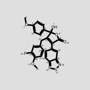 COc1ccc(C2(O)OC(=O)C(c3ccc4nsnc4c3)=C2Cc2ccc(OC)c(F)c2)cc1